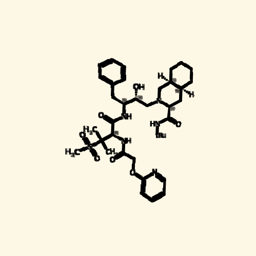 CC(C)(C)NC(=O)[C@@H]1C[C@@H]2CCCC[C@@H]2CN1C[C@@H](O)[C@H](Cc1ccccc1)NC(=O)[C@@H](NC(=O)COc1ccccn1)C(C)(C)S(C)(=O)=O